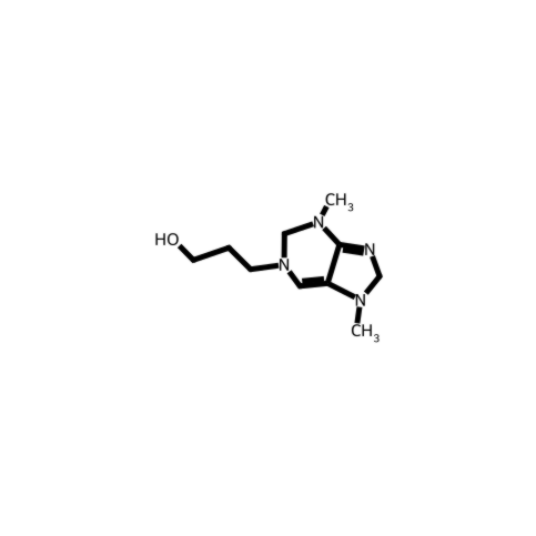 CN1CN=C2C1=CN(CCCO)CN2C